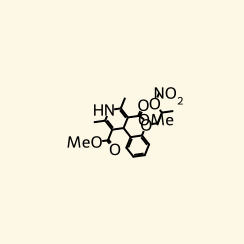 COC(=O)C1=C(C)NC(C)=C(C(=O)OC)C1c1ccccc1OCC(C)O[N+](=O)[O-]